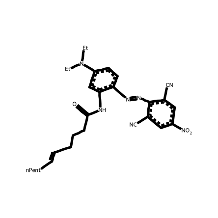 CCCCC/C=C/CCCC(=O)Nc1cc(N(CC)CC)ccc1/N=N/c1c(C#N)cc([N+](=O)[O-])cc1C#N